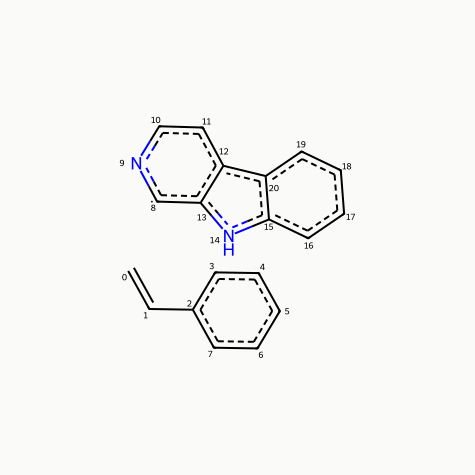 C=Cc1ccccc1.[c]1nccc2c1[nH]c1ccccc12